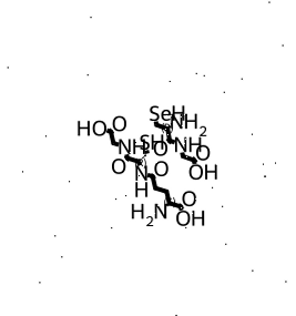 N[C@@H](CCC(=O)N[C@@H](CS)C(=O)NCC(=O)O)C(=O)O.N[C@@H](C[SeH])C(=O)NCC(=O)O